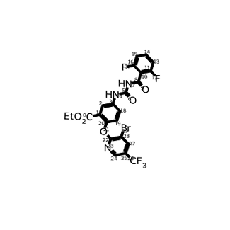 CCOC(=O)c1cc(NC(=O)NC(=O)c2c(F)cccc2F)ccc1Oc1ncc(C(F)(F)F)cc1Br